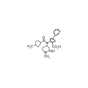 CC1CCC(C(=O)N(c2cc(-c3ccccc3)sc2C(=O)O)C2CCN(C)CC2)CC1.Cl